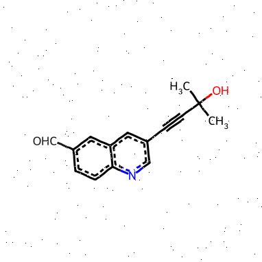 CC(C)(O)C#Cc1cnc2ccc(C=O)cc2c1